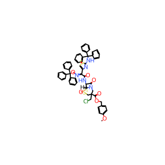 COc1ccc(COC(=O)C2(CCl)CN3C(=O)C(NC(=O)C(=NOC(c4ccccc4)(c4ccccc4)c4ccccc4)c4csc(NC(c5ccccc5)(c5ccccc5)c5ccccc5)n4)[C@H]3[S+]([O-])C2)cc1